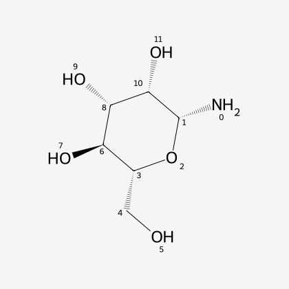 N[C@@H]1O[C@H](CO)[C@@H](O)[C@H](O)[C@@H]1O